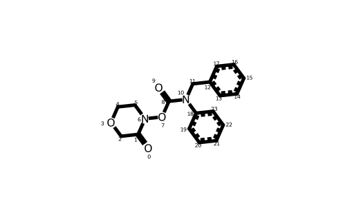 O=C1COCCN1OC(=O)N(Cc1ccccc1)c1ccccc1